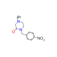 CC(C)N1CCN(Cc2ccc([N+](=O)[O-])cc2)C(=O)C1